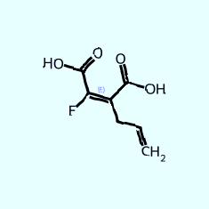 C=CC/C(C(=O)O)=C(\F)C(=O)O